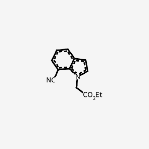 CCOC(=O)Cn1ccc2cccc(C#N)c21